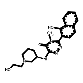 Cn1c(-c2ccc3ccccc3c2O)nnc(N[C@@H]2CCCN(CCO)C2)c1=O